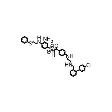 Nc1cc(S(=O)(=O)NC(=O)c2ccc(NCCNCc3ccccc3-c3ccc(Cl)cc3)cc2)ccc1NCCSc1ccccc1